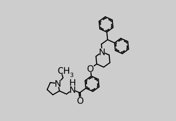 CCN1CCCC1CNC(=O)c1cccc(OC2CCCN(CC(c3ccccc3)c3ccccc3)C2)c1